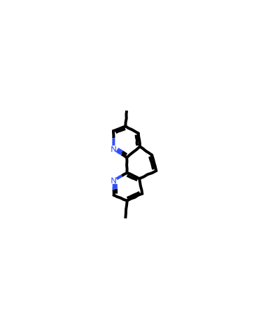 Cc1cnc2c(ccc3cc(C)cnc32)c1